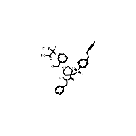 CC#CCOc1ccc(S(=O)(=O)CC2(C(=O)N(O)Cc3ccncc3)CCNCC2)cc1.Cl.ClCc1ccncc1.O=C(O)C(F)(F)F